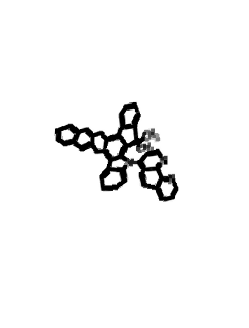 CC1(C)c2ccccc2-c2c3c(c4c5ccccc5n(-c5ccnc6c5ccc5cccnc56)c4c21)Cc1cc2ccccc2cc1C3